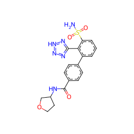 NS(=O)(=O)c1cccc(-c2ccc(C(=O)NC3CCOC3)cc2)c1-c1nn[nH]n1